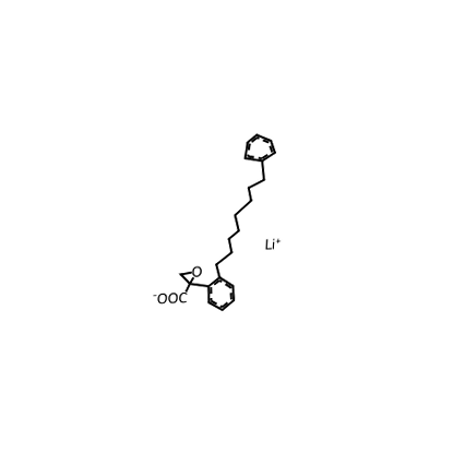 O=C([O-])C1(c2ccccc2CCCCCCCCc2ccccc2)CO1.[Li+]